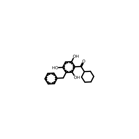 O=C(c1c(O)cc(O)c(Cc2ccccc2)c1O)C1CCCCC1